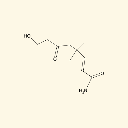 CC(C)(C=CC(N)=O)CC(=O)CCO